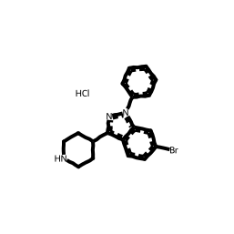 Brc1ccc2c(C3CCNCC3)nn(-c3ccccc3)c2c1.Cl